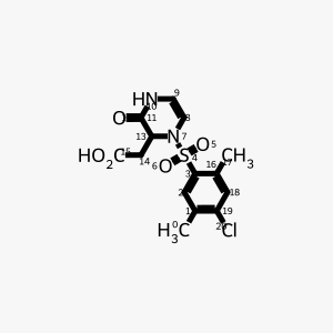 Cc1cc(S(=O)(=O)N2C=CNC(=O)C2CC(=O)O)c(C)cc1Cl